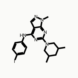 CC1CC(C)CN(c2nc(Nc3ccc(I)cc3)c3cnn(C)c3n2)C1